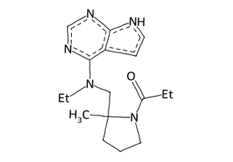 CCC(=O)N1CCCC1(C)CN(CC)c1ncnc2[nH]ccc12